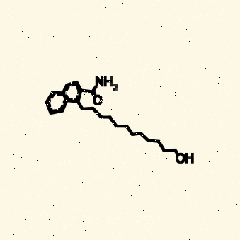 NC(=O)c1ccc2ccccc2c1CCCCCCCCCCCCO